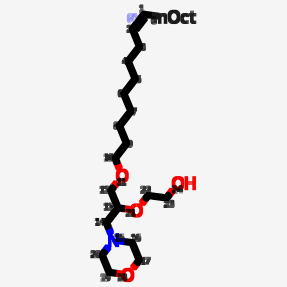 CCCCCCCC/C=C\CCCCCCCCOCC(CN1CCOCC1)OCCO